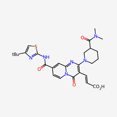 CN(C)C(=O)C1CCCN(c2nc3cc(C(=O)Nc4nc(C(C)(C)C)cs4)ccn3c(=O)c2C=CC(=O)O)C1